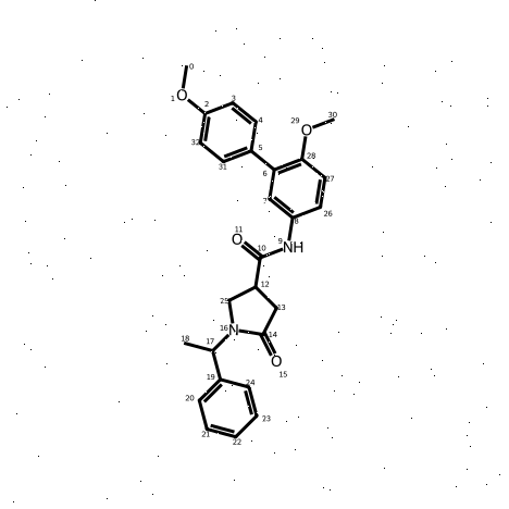 COc1ccc(-c2cc(NC(=O)C3CC(=O)N(C(C)c4ccccc4)C3)ccc2OC)cc1